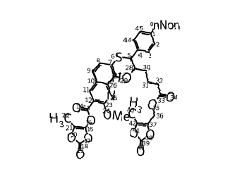 CCCCCCCCCc1ccc(C(Sc2ccc3cc(C(=O)Oc4oc(=O)oc4C)c(OC)nc3c2)C(O)CCCC(=O)OCc2oc(=O)oc2C)cc1